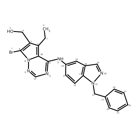 CCc1c(CO)c(Br)n2ncnc(Nc3ccc4c(cnn4Cc4ccccc4)c3)c12